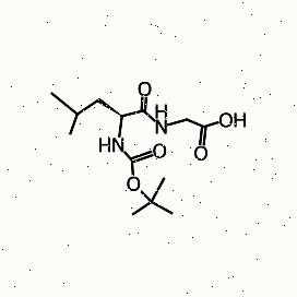 CC(C)C[C@H](NC(=O)OC(C)(C)C)C(=O)NCC(=O)O